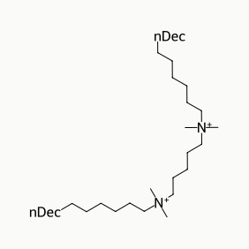 CCCCCCCCCCCCCCCC[N+](C)(C)CCCCC[N+](C)(C)CCCCCCCCCCCCCCCC